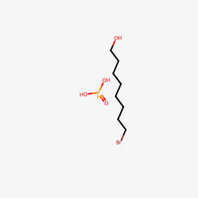 O=[PH](O)O.OCCCCCCCCBr